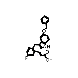 O=C(O)/C=C/c1cc(F)ccc1Cc1c[nH]c2ccc(OCc3ccccc3)cc12